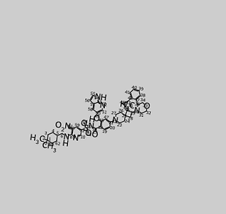 CC1(C)CCC(CNc2ncc(S(=O)(=O)NC(=O)c3ccc(N4CCC5(CC4)CC(N4CCOC[C@]4(C)c4ccccc4C4CC4)C5)cc3Oc3cnc4[nH]ccc4c3)cc2[N+](=O)[O-])CC1